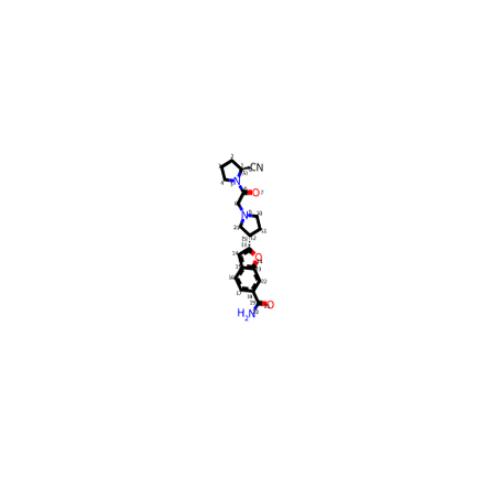 N#C[C@@H]1CCCN1C(=O)CN1CC[C@H](c2cc3ccc(C(N)=O)cc3o2)C1